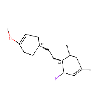 COC1=CC[C@@H](CC[C@@H]2C(I)C=C(C)CC2C)CC1